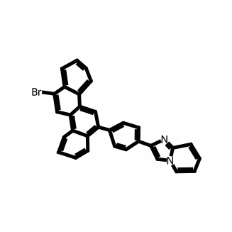 Brc1cc2c3ccccc3c(-c3ccc(-c4cn5ccccc5n4)cc3)cc2c2ccccc12